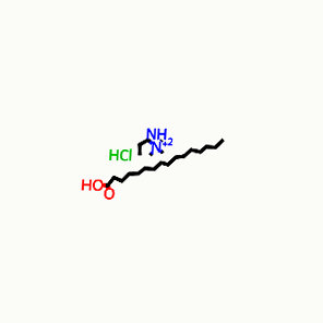 CCC(N)[N+](C)(C)C.CCCCCCCCCCCCCCCC(=O)O.Cl